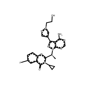 C[C@@H](c1nc2ccc(F)cc2c(=O)n1C1CC1)n1nc(-c2cnn(CCO)c2)c2c(N)ncnc21